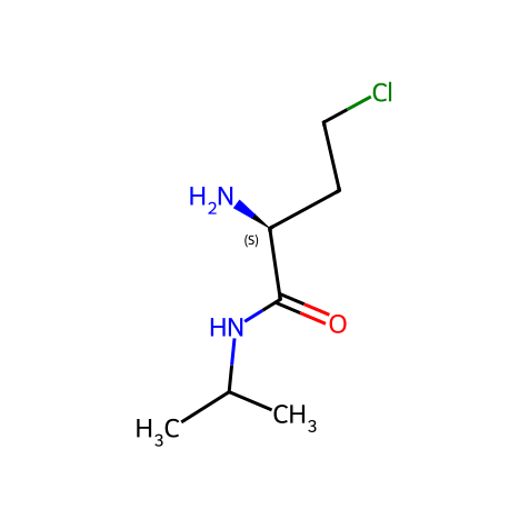 CC(C)NC(=O)[C@@H](N)CCCl